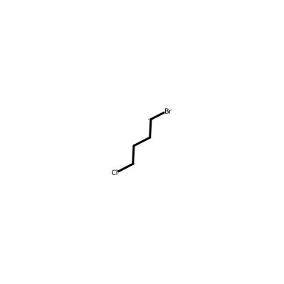 Cl[CH]CC[CH]Br